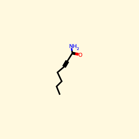 CCCCC#CC(N)=O